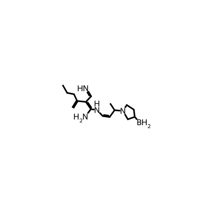 BC1CCN(C(C)/C=C\N/C(N)=C(\C=N)C(=C)CCC)C1